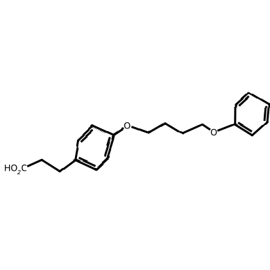 O=C(O)CCc1ccc(OCCCCOc2ccccc2)cc1